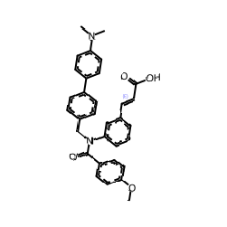 COc1ccc(C(=O)N(Cc2ccc(-c3ccc(N(C)C)cc3)cc2)c2cccc(/C=C/C(=O)O)c2)cc1